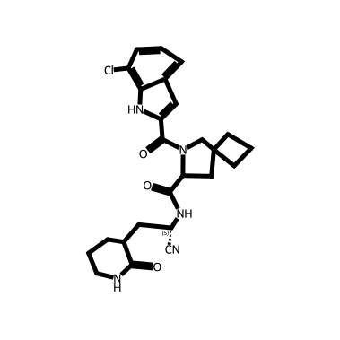 N#C[C@H](CC1CCCNC1=O)NC(=O)C1CC2(CCC2)CN1C(=O)c1cc2cccc(Cl)c2[nH]1